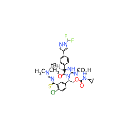 CN(C)C=NC(=S)c1cc(C(COC(=O)NC2CC2)N2C(=O)[C@@](CC(C)(C)C)(c3ccc(-c4cnn(C(F)F)c4)cc3)NC2=NC(=O)O)ccc1Cl